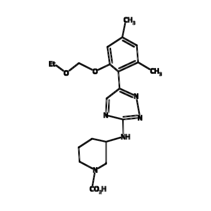 CCOCOc1cc(C)cc(C)c1-c1cnc(NC2CCCN(C(=O)O)C2)nn1